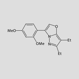 CCc1nn2c(-c3ccc(OC)cc3OC)coc2c1CC